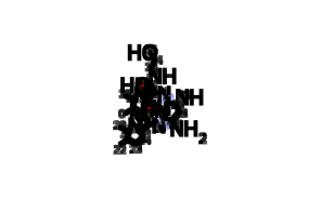 Cc1ccc2c(/N=C3\N/C(=N\c4c(NCCO)nn5c(C)c(C)ccc45)C(N)=CC3=N)c(NCCO)nn2c1C